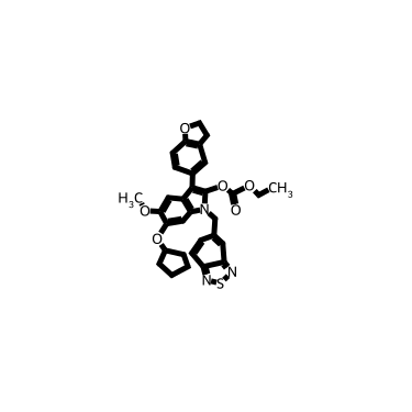 CCOC(=O)Oc1c(-c2ccc3c(c2)CCO3)c2cc(OC)c(OC3CCCC3)cc2n1Cc1ccc2nsnc2c1